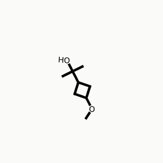 COC1CC(C(C)(C)O)C1